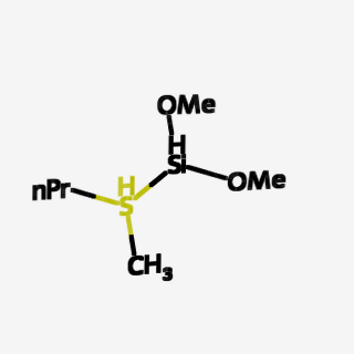 CCC[SH](C)[SiH](OC)OC